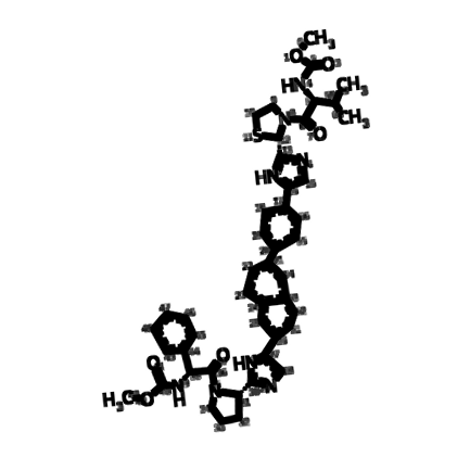 COC(=O)N[C@H](C(=O)N1CCS[C@H]1c1ncc(-c2ccc(-c3ccc4cc(-c5cnc([C@@H]6CCCN6C(=O)[C@H](NC(=O)OC)c6ccccc6)[nH]5)ccc4c3)cc2)[nH]1)C(C)C